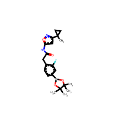 CC1(c2cc(NC(=O)Cc3ccc(B4OC(C)(C)C(C)(C)O4)cc3F)on2)CC1